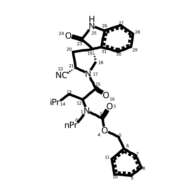 CCCN(C(=O)OCc1ccccc1)C(CC(C)C)C(=O)N1C[C@]2(C[C@H]1C#N)C(=O)Nc1ccccc12